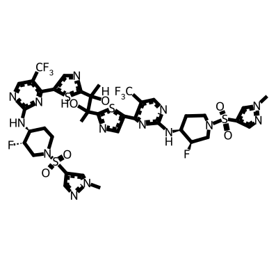 Cn1cc(S(=O)(=O)N2CC[C@H](Nc3ncc(C(F)(F)F)c(-c4cnc(C(C)(O)C(C)(O)c5ncc(-c6nc(N[C@@H]7CCN(S(=O)(=O)c8cnn(C)c8)C[C@@H]7F)ncc6C(F)(F)F)s5)s4)n3)[C@H](F)C2)cn1